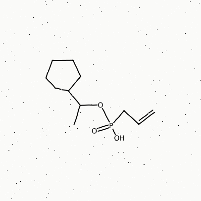 C=CCP(=O)(O)OC(C)C1CCCCC1